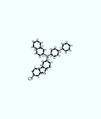 Clc1ccc2c(c1)sc1ccc(N(c3ccc(-c4ccccc4)cc3)c3ccc4ccccc4c3)cc12